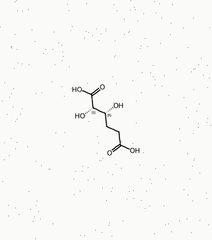 O=C(O)CC[C@@H](O)[C@H](O)C(=O)O